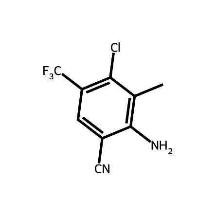 Cc1c(N)c(C#N)cc(C(F)(F)F)c1Cl